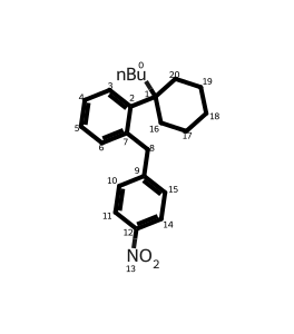 CCCCC1(c2ccccc2Cc2ccc([N+](=O)[O-])cc2)CCCCC1